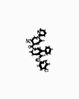 N#CC1CN(c2ccccn2)CCC1C(=O)N1CC[C@H](COc2ccc(Cl)cn2)[C@@H](c2ccccc2)C1